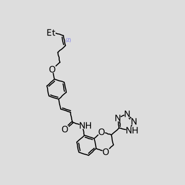 CC/C=C\CCOc1ccc(C=CC(=O)Nc2cccc3c2OC(c2nnn[nH]2)CO3)cc1